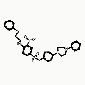 O=[N+]([O-])c1cc(S(=O)(=O)Nc2ccc(N3CCN(c4ccccc4)CC3)cc2)ccc1NCCSc1ccccc1